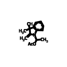 C=C1N(C(C)OC(C)=O)c2ccccc2C1(C)C